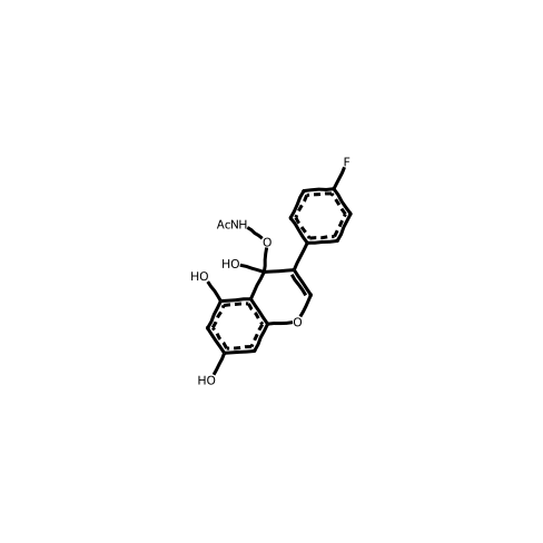 CC(=O)NOC1(O)C(c2ccc(F)cc2)=COc2cc(O)cc(O)c21